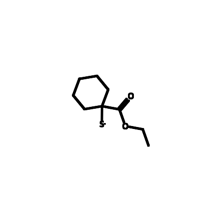 CCOC(=O)C1([S])CCCCC1